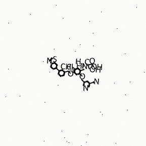 Cc1c(COc2cc(OCc3cncc(C#N)c3)c(CNC(C)(CO)C(=O)O)cc2Cl)cccc1-c1ccc2ncsc2c1